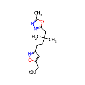 Cc1nnc(CC(C)(C)CCc2cc(CC(C)(C)C)on2)o1